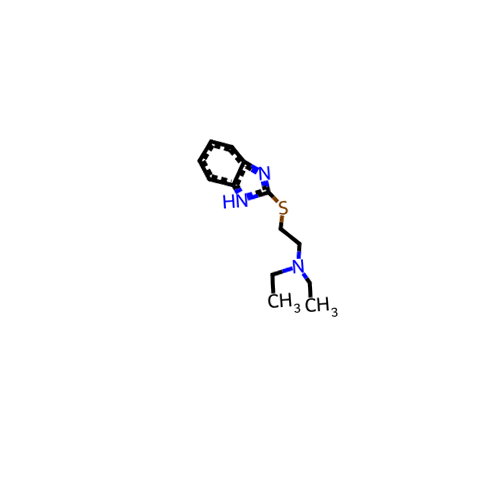 CCN(CC)CCSc1nc2ccccc2[nH]1